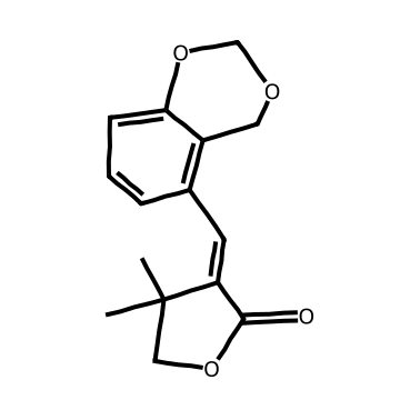 CC1(C)COC(=O)/C1=C/c1cccc2c1COCO2